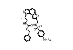 CC(=O)Nc1ccc(S(=O)(=O)NCc2cc3c(ccc4cnn([C@@H](C)CNC(=O)OCc5ccccc5)c43)o2)cc1